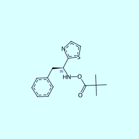 CC(C)(C)C(=O)ON[C@@H](Cc1ccccc1)c1nccs1